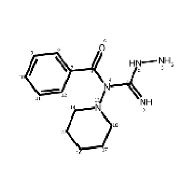 N=C(NN)N(C(=O)c1ccccc1)N1CCCCC1